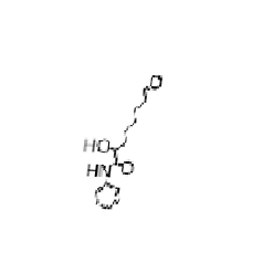 O=CCCCCCC(O)C(=O)Nc1ccccc1